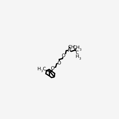 CC(C)CN(C)CCOCCOCCOC12CC3CC(CC(C)(C3)C1)C2